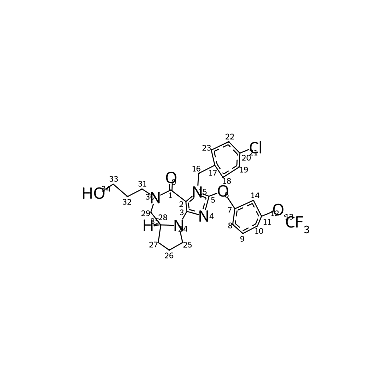 O=C1c2c(nc(Oc3cccc(OC(F)(F)F)c3)n2Cc2ccc(Cl)cc2)N2CCC[C@@H]2CN1CCCO